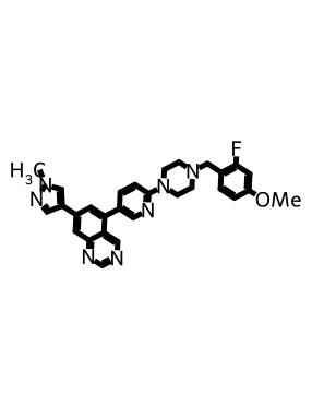 COc1ccc(CN2CCN(c3ccc(-c4cc(-c5cnn(C)c5)cc5ncncc45)cn3)CC2)c(F)c1